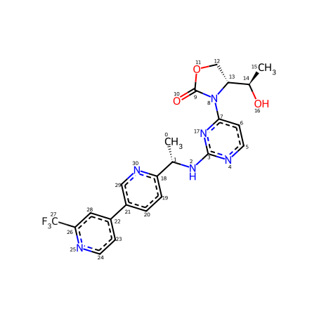 C[C@H](Nc1nccc(N2C(=O)OC[C@@H]2[C@@H](C)O)n1)c1ccc(-c2ccnc(C(F)(F)F)c2)cn1